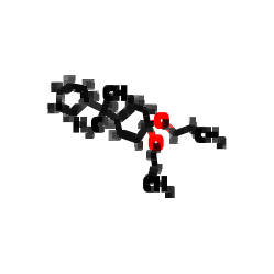 C=CCOC1(OCC=C)C=CC(C(C)(C)c2ccccc2)=CC1